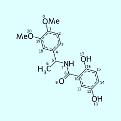 COc1ccc(C(C)NC(=O)c2cc(O)ccc2O)cc1OC